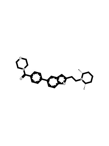 C[C@@H]1CCC[C@H](C)N1CCc1cc2cc(-c3ccc(C(=O)N4CCOCC4)cc3)ccc2o1